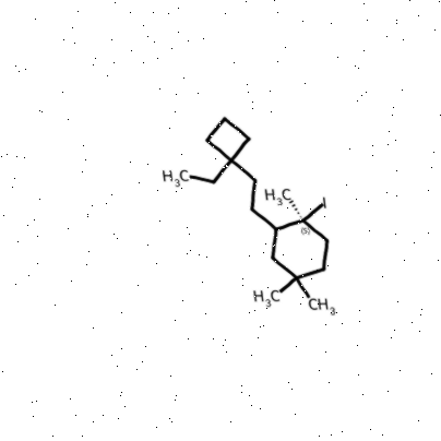 CCC1(CCC2CC(C)(C)CC[C@]2(C)I)CCC1